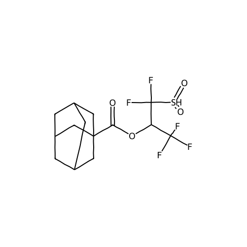 O=C(OC(C(F)(F)F)C(F)(F)[SH](=O)=O)C12CC3CC(CC(C3)C1)C2